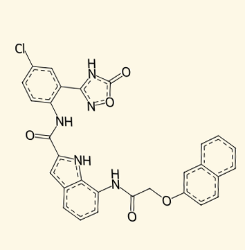 O=C(COc1ccc2ccccc2c1)Nc1cccc2cc(C(=O)Nc3ccc(Cl)cc3-c3noc(=O)[nH]3)[nH]c12